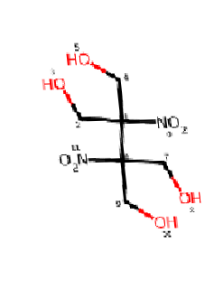 O=[N+]([O-])C(CO)(CO)C(CO)(CO)[N+](=O)[O-]